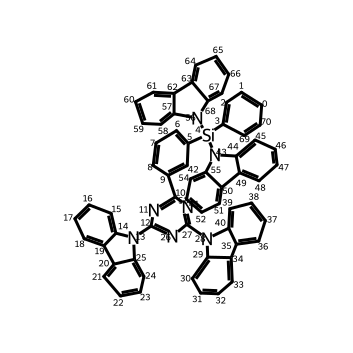 c1ccc([Si](c2cccc(-c3nc(-n4c5ccccc5c5ccccc54)nc(-n4c5ccccc5c5ccccc54)n3)c2)(n2c3ccccc3c3ccccc32)n2c3ccccc3c3ccccc32)cc1